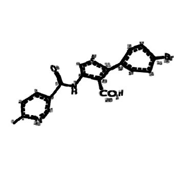 Cc1ccc(C(=O)Nc2csc(-c3ccc(Br)cc3)c2C(=O)O)cn1